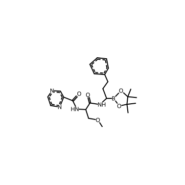 COCC(NC(=O)c1cnccn1)C(=O)NC(CCc1ccccc1)B1OC(C)(C)C(C)(C)O1